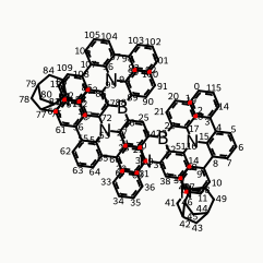 c1ccc(-c2cccc(-c3ccccc3)c2N2c3ccccc3B3c4cc5c(cc4N(c4ccccc4)c4cc(N6CC7CC8CC7CC6C8)cc2c43)N(c2c(-c3ccccc3)cccc2-c2ccccc2)c2cc(N3CC4CC6CC4CC3C6)cc3c2B5c2ccccc2N3c2c(-c3ccccc3)cccc2-c2ccccc2)cc1